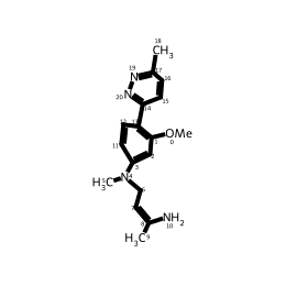 COc1cc(N(C)C/C=C(/C)N)ccc1-c1ccc(C)nn1